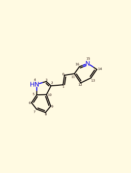 C(=Cc1c[nH]c2ccccc12)c1cccnc1